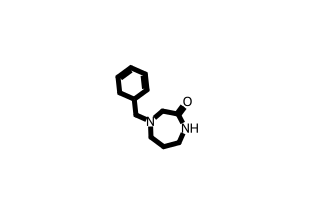 O=C1CN(CC2C=CC=CC2)CCCN1